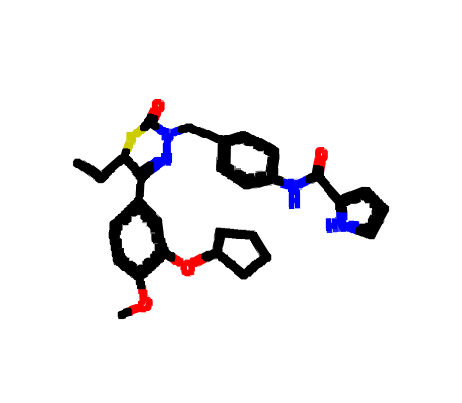 CCC1SC(=O)N(Cc2ccc(NC(=O)c3ccc[nH]3)cc2)N=C1c1ccc(OC)c(OC2CCCC2)c1